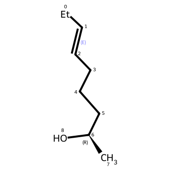 CC/C=C/CCC[C@@H](C)O